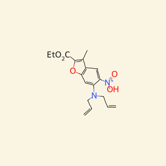 C=CCN(CC=C)c1cc2oc(C(=O)OCC)c(C)c2cc1[N+](=O)O